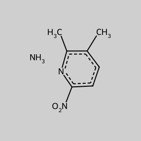 Cc1ccc([N+](=O)[O-])nc1C.N